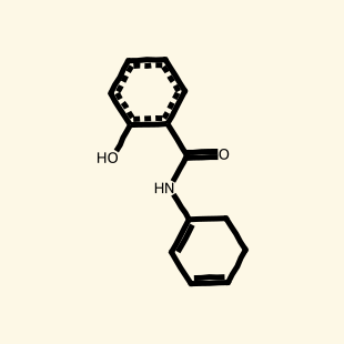 O=C(NC1=CC=CCC1)c1ccccc1O